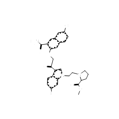 COC(=O)C1CCCN1CCn1cc(C(=O)COc2cc3ccc(Cl)cc3cc2C(N)=O)c2ccc(F)cc21